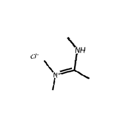 CNC(C)=[N+](C)C.[Cl-]